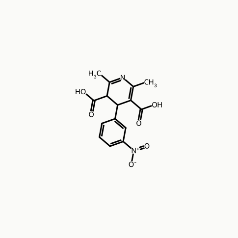 CC1=NC(C)=C(C(=O)O)C(c2cccc([N+](=O)[O-])c2)C1C(=O)O